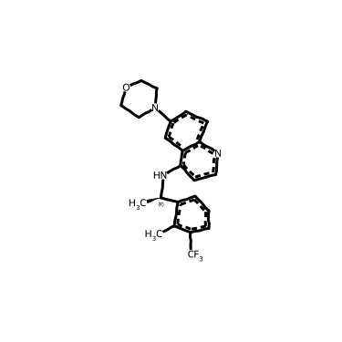 Cc1c([C@@H](C)Nc2ccnc3ccc(N4CCOCC4)cc23)cccc1C(F)(F)F